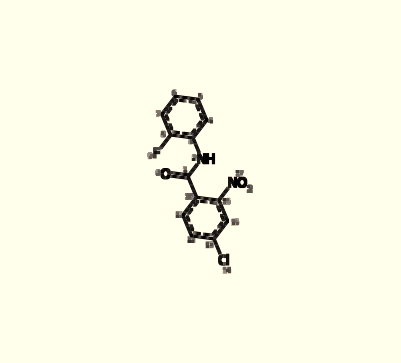 O=C(Nc1ccccc1F)c1ccc(Cl)cc1[N+](=O)[O-]